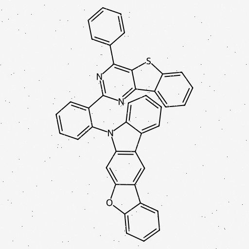 c1ccc(-c2nc(-c3ccccc3-n3c4ccccc4c4cc5c(cc43)oc3ccccc35)nc3c2sc2ccccc23)cc1